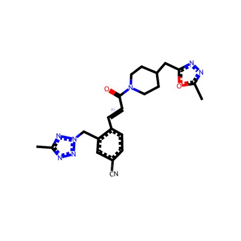 Cc1nnn(Cc2cc(C#N)ccc2/C=C/C(=O)N2CCC(Cc3nnc(C)o3)CC2)n1